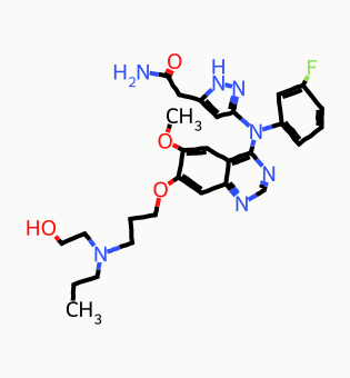 CCCN(CCO)CCCOc1cc2ncnc(N(c3cccc(F)c3)c3cc(CC(N)=O)[nH]n3)c2cc1OC